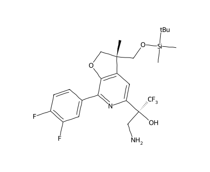 CC(C)(C)[Si](C)(C)OC[C@@]1(C)COc2c1cc([C@@](O)(CN)C(F)(F)F)nc2-c1ccc(F)c(F)c1